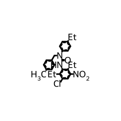 CCc1ccc(N(Cc2ccc(C)cc2)C(=O)Nc2c(CC)c(Cl)cc([N+](=O)[O-])c2CC)cc1